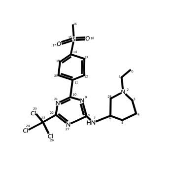 CCN1CCCC(Nc2nc(-c3ccc(S(C)(=O)=O)cc3)nc(C(Cl)(Cl)Cl)n2)C1